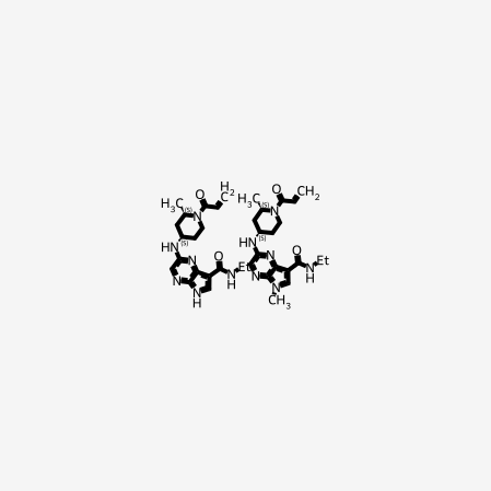 C=CC(=O)N1CC[C@H](Nc2cnc3[nH]cc(C(=O)NCC)c3n2)C[C@@H]1C.C=CC(=O)N1CC[C@H](Nc2cnc3c(n2)c(C(=O)NCC)cn3C)C[C@@H]1C